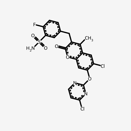 Cc1c(Cc2ccc(F)c(S(N)(=O)=O)c2)c(=O)oc2cc(Oc3nccc(Cl)n3)c(Cl)cc12